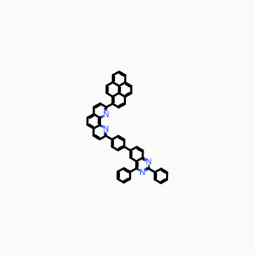 c1ccc(-c2nc(-c3ccccc3)c3cc(-c4ccc(-c5ccc6ccc7ccc(-c8ccc9ccc%10cccc%11ccc8c9c%10%11)nc7c6n5)cc4)ccc3n2)cc1